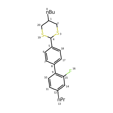 CCCCC1CSC(c2ccc(-c3ccc(CCC)cc3F)cc2)SC1